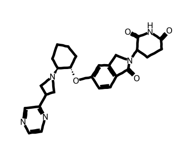 O=C1CCC(N2Cc3cc(O[C@H]4CCCC[C@@H]4N4CC(c5cnccn5)C4)ccc3C2=O)C(=O)N1